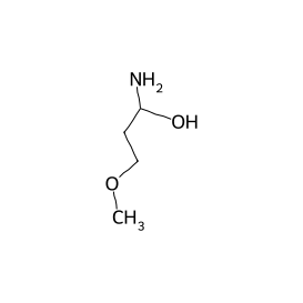 COCCC(N)O